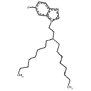 CCCCCCCCN(CCCCCCCC)CCn1cnc2ccc(F)cc21